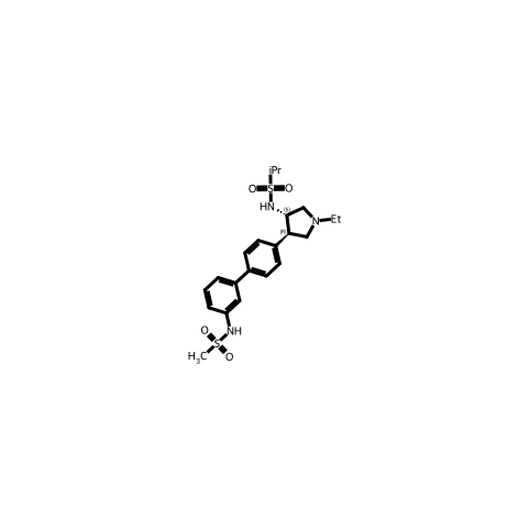 CCN1C[C@@H](NS(=O)(=O)C(C)C)[C@H](c2ccc(-c3cccc(NS(C)(=O)=O)c3)cc2)C1